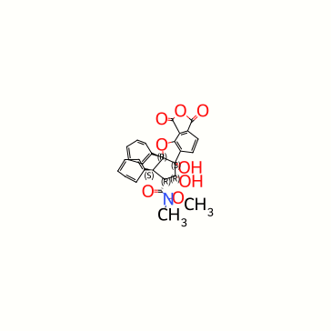 CON(C)C(=O)[C@H]1[C@@H](O)[C@@]2(O)c3ccc4c(c3O[C@@]2(c2ccccc2)[C@@H]1c1ccccc1)C(=O)OC4=O